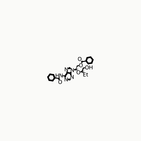 CC[C@H](CO)O[C@H](COC(=O)c1ccccc1)n1cnc2c(NC(=O)c3ccccc3)ncnc21